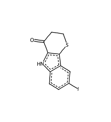 O=C1CCSc2c1[nH]c1ccc(I)cc21